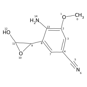 COc1cc(C#N)cc(C2OC2O)c1N